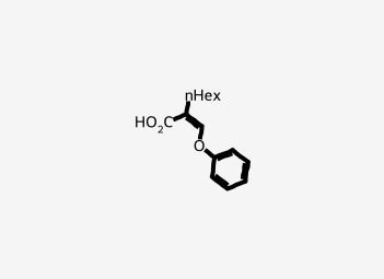 CCCCCCC(=COc1ccccc1)C(=O)O